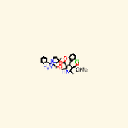 COC(=O)C1=C(C)NC(COCCN)=C(C(=O)OC2(C)CCN(Cc3ccccc3)C2)C1c1ccccc1Cl